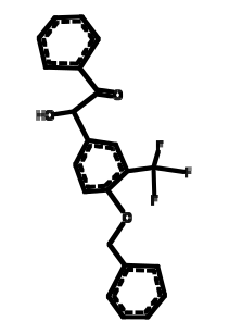 O=C(c1ccccc1)C(O)c1ccc(OCc2ccccc2)c(C(F)(F)F)c1